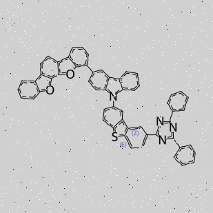 C=C(/C=c1\c(=C/C)sc2ccc(-n3c4ccccc4c4cc(-c5cccc6c5oc5c6ccc6c7ccccc7oc65)ccc43)cc12)c1nc(-c2ccccc2)nc(-c2ccccc2)n1